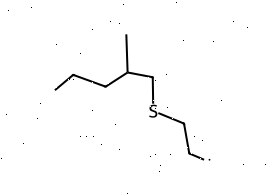 [CH2]CCSCC(C)CCC